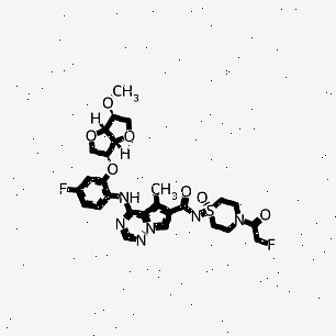 CO[C@@H]1CO[C@H]2[C@@H]1OC[C@H]2Oc1cc(F)ccc1Nc1ncnn2cc(C(=O)N=S3(=O)CCN(C(=O)CF)CC3)c(C)c12